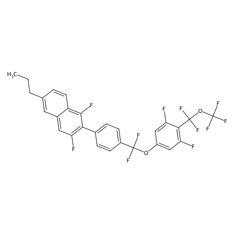 CCCc1ccc2c(F)c(-c3ccc(C(F)(F)Oc4cc(F)c(C(F)(F)OC(F)(F)F)c(F)c4)cc3)c(F)cc2c1